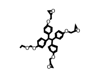 CCOCOc1ccc(C(c2ccc(OCC3CO3)cc2)C(c2ccc(OCC3CO3)cc2)c2ccc(OCC3CO3)cc2)cc1